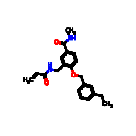 C=CC(=O)NCc1cc(C(=O)NC)ccc1OCc1cccc(CC)c1